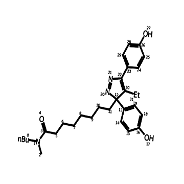 CCCCN(C)C(=O)CCCCCCCC1(c2ccc(O)cc2)N=NC(c2ccc(O)cc2)=C1CC